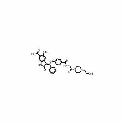 Cc1cc2c(cc1C(=O)O)NC(=O)C2=C(Nc1ccc(C(=O)NCC(=O)N2CCN(CCO)CC2)cc1)c1ccccc1